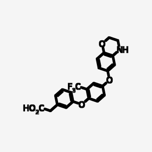 O=C(O)Cc1cccc(Oc2ccc(Oc3ccc4c(c3)NCCO4)cc2C(F)(F)F)c1